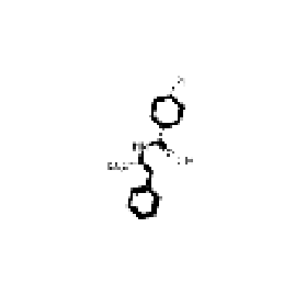 CC(C)[C@H]1CC[C@H](C(=O)N[C@H](Cc2ccccc2)C(=O)O)CC1.Cl